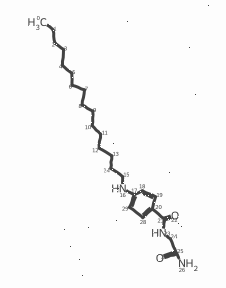 CCCCCCCCCCCCCCCCNc1ccc(C(=O)NCC(N)=O)cc1